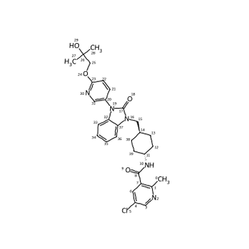 Cc1ncc(Cl)cc1C(=O)N[C@H]1CC[C@H](Cn2c(=O)n(-c3ccc(OCC(C)(C)O)nc3)c3ccccc32)CC1